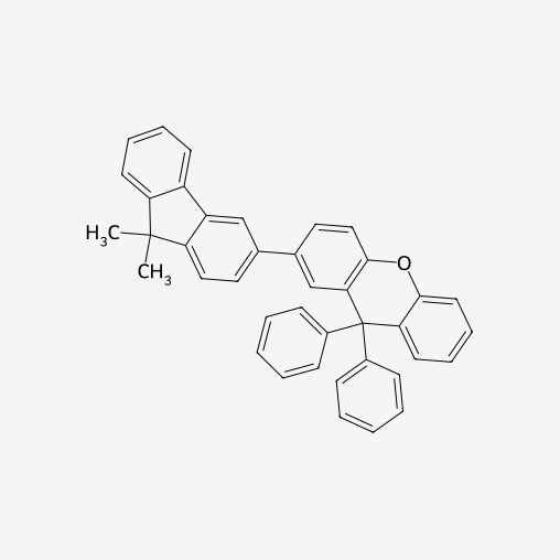 CC1(C)c2ccccc2-c2cc(-c3ccc4c(c3)C(c3ccccc3)(c3ccccc3)c3ccccc3O4)ccc21